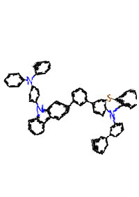 c1ccc(-c2cccc(N3c4ccccc4Sc4cc(-c5cccc(-c6ccc7c8ccccc8n(-c8ccc(N(c9ccccc9)c9ccccc9)cc8)c7c6)c5)ccc43)c2)cc1